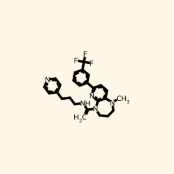 C=C(NCCCc1ccncc1)N1CCCN(C)c2ccc(-c3cccc(C(F)(F)F)c3)nc21